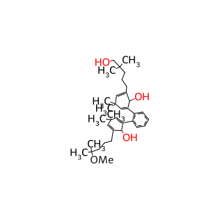 COC(C)(C)CCCC1=CC(C)(C)C=C(c2ccccc2C2=CC(C)(C)C=C(CCCC(C)(C)CO)C2O)C1O